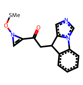 CSON1C=C1C(=O)CC1c2ccccc2-n2cncc21